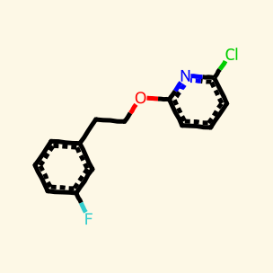 Fc1cccc(CCOc2cccc(Cl)n2)c1